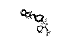 CC(C)CC(C1SCCCS1)N(C)S(=O)(=O)c1ccc(CC2(C)N=c3ccncc3=N2)cc1